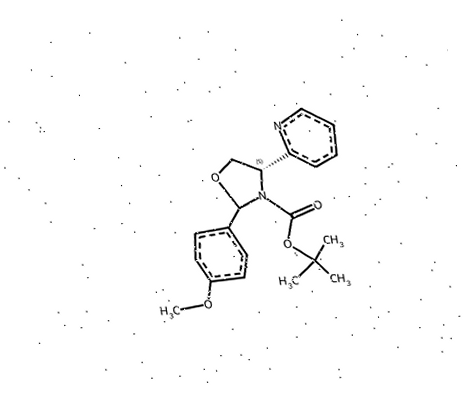 COc1ccc(C2OC[C@H](c3ccccn3)N2C(=O)OC(C)(C)C)cc1